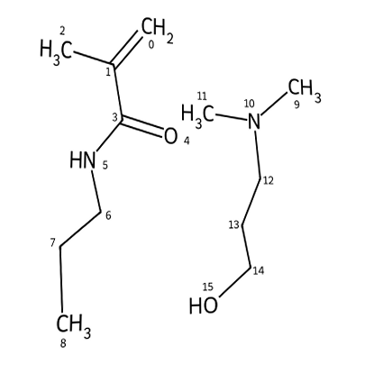 C=C(C)C(=O)NCCC.CN(C)CCCO